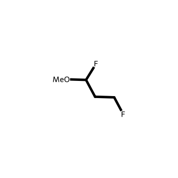 [CH2]OC(F)CCF